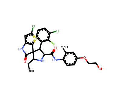 COc1cc(OCCO)ccc1NC(=O)C1NC(CC(C)(C)C)C2(C(=O)Nc3cc(Cl)sc32)C1c1cccc(Cl)c1F